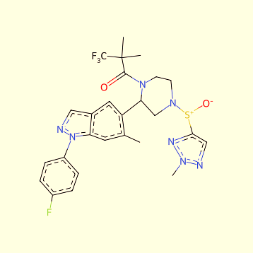 Cc1cc2c(cnn2-c2ccc(F)cc2)cc1C1CN([S+]([O-])c2cnn(C)n2)CCN1C(=O)C(C)(C)C(F)(F)F